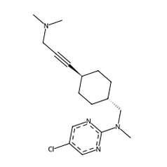 CN(C)CC#C[C@H]1CC[C@H](CN(C)c2ncc(Cl)cn2)CC1